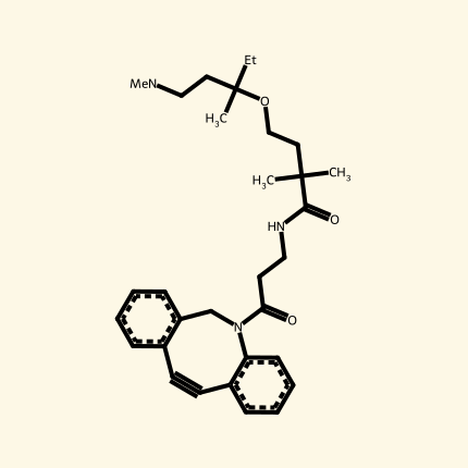 CCC(C)(CCNC)OCCC(C)(C)C(=O)NCCC(=O)N1Cc2ccccc2C#Cc2ccccc21